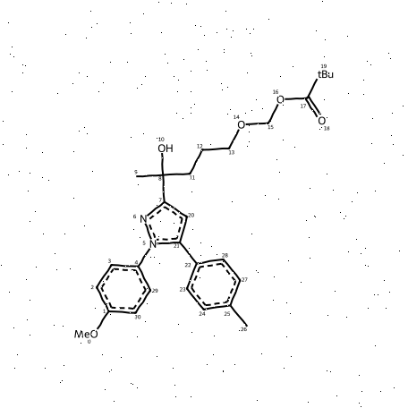 COc1ccc(-n2nc(C(C)(O)CCCOCOC(=O)C(C)(C)C)cc2-c2ccc(C)cc2)cc1